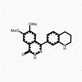 COc1cc2c(-c3ccc4c(c3)NCCC4)n[nH]c(=O)c2cc1OC